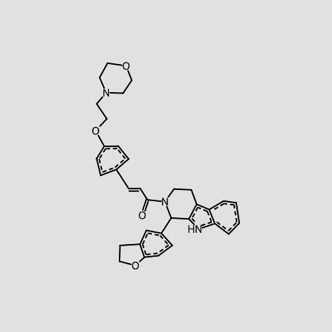 O=C(C=Cc1ccc(OCCN2CCOCC2)cc1)N1CCc2c([nH]c3ccccc23)C1c1ccc2c(c1)CCO2